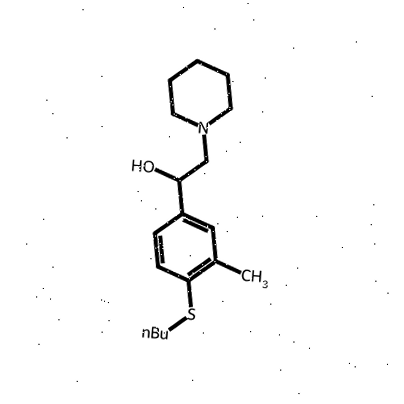 CCCCSc1ccc(C(O)CN2CCCCC2)cc1C